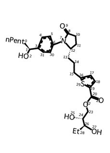 CCCCC[C@H](O)c1ccc(N2C(=O)CC[C@@H]2CCCc2ccc(C(=O)OC[C@@H](O)[C@@H](O)CC)s2)cc1